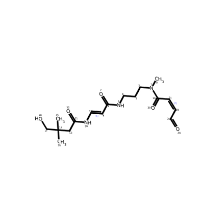 CN(CCCNC(=O)/C=C/NC(=O)CC(C)(C)CO)C(=O)/C=C\C=O